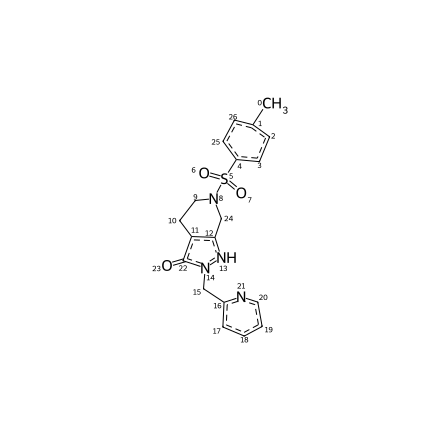 Cc1ccc(S(=O)(=O)N2CCc3c([nH]n(Cc4ccccn4)c3=O)C2)cc1